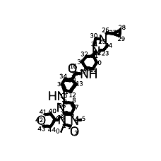 C[C@@H]1C(=O)N(C)c2ccc(Nc3ccc(C(=O)NC4CCC(N5CCN(CC6CC6)CC5)CC4)cc3)nc2N1C1CCOCC1